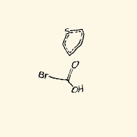 O=C(O)Br.c1ccsc1